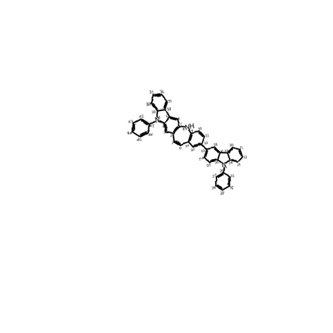 C1=Cc2cc3c(cc2Nc2ccc(-c4ccc5c(c4)c4ccccc4n5-c4ccccc4)cc21)c1ccccc1n3-c1ccccc1